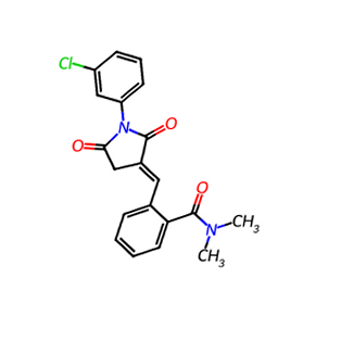 CN(C)C(=O)c1ccccc1C=C1CC(=O)N(c2cccc(Cl)c2)C1=O